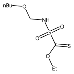 CCCCOCNS(=O)(=O)C(=S)OCC